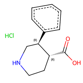 Cl.O=C(O)[C@@H]1CCNC[C@H]1c1ccccc1